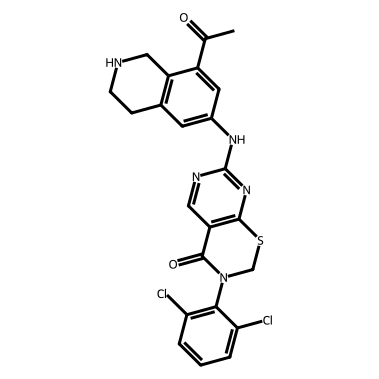 CC(=O)c1cc(Nc2ncc3c(n2)SCN(c2c(Cl)cccc2Cl)C3=O)cc2c1CNCC2